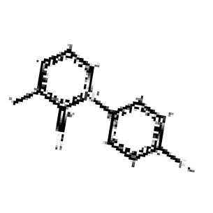 Cc1cccn(-c2ccc(F)nc2)c1=O